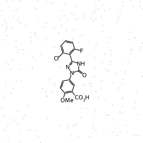 COc1ccc(-n2nc(-c3c(F)cccc3Cl)[nH]c2=O)cc1C(=O)O